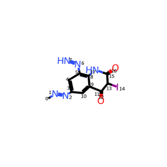 CN=Nc1cc(N=N)c2c(c1)C(=O)C(I)C(=O)N2